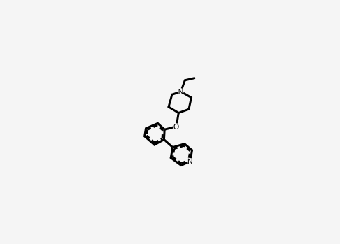 CCN1CCC(Oc2ccccc2-c2ccncc2)CC1